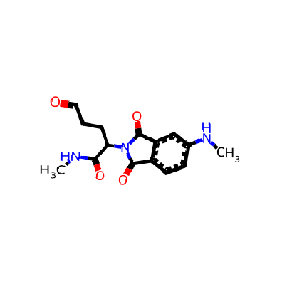 CNC(=O)C(CCC=O)N1C(=O)c2ccc(NC)cc2C1=O